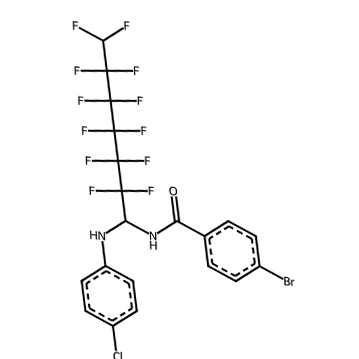 O=C(NC(Nc1ccc(Cl)cc1)C(F)(F)C(F)(F)C(F)(F)C(F)(F)C(F)(F)C(F)F)c1ccc(Br)cc1